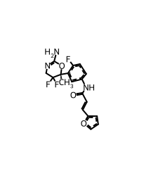 C[C@]1(c2cc(NC(=O)/C=C/c3ccco3)ccc2F)OC(N)=NCC1(F)F